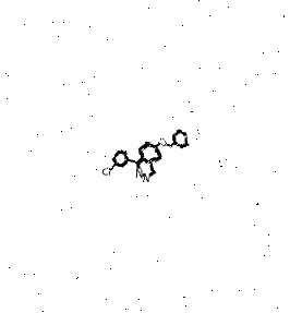 Clc1cccc(-c2nncc3cc(OCc4ccccc4)ccc23)c1